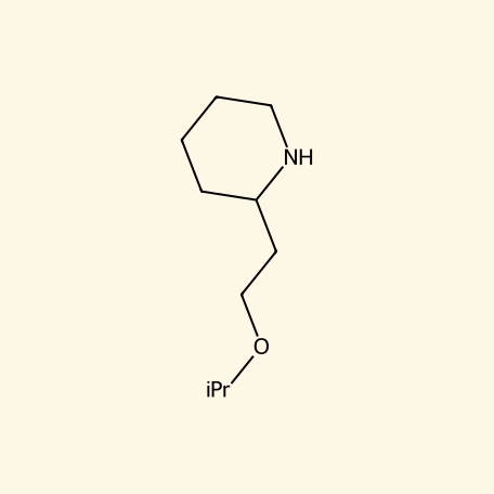 CC(C)OCCC1CCCCN1